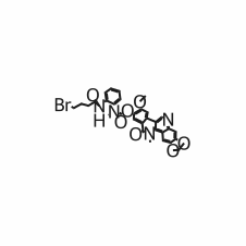 COc1cc2c(cc1OC(=O)N(C)c1ccccc1NC(=O)CCCBr)c(=O)n(C)c1c3cc4c(cc3ncc21)OCO4